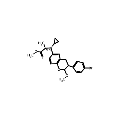 COC(=O)[C@@H](C)[C@H](c1ccc2c(c1)CC(c1ccc(Br)cc1)C(OC)O2)C1CC1